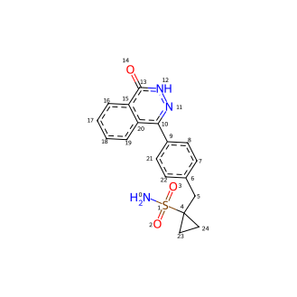 NS(=O)(=O)C1(Cc2ccc(-c3n[nH]c(=O)c4ccccc34)cc2)CC1